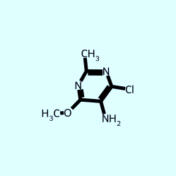 COc1nc(C)nc(Cl)c1N